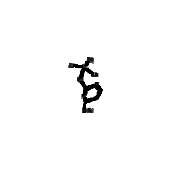 CC[Si](CC)(CC)Oc1nccc(NC(C)=O)n1